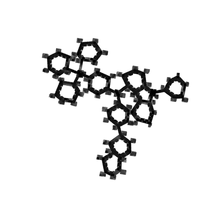 c1ccc(-n2c3ccccc3c3c(N(c4ccc(-c5ccc6ccccc6c5)cc4)c4ccc([Si](c5ccccc5)(c5ccccc5)c5ccccc5)cc4)cccc32)cc1